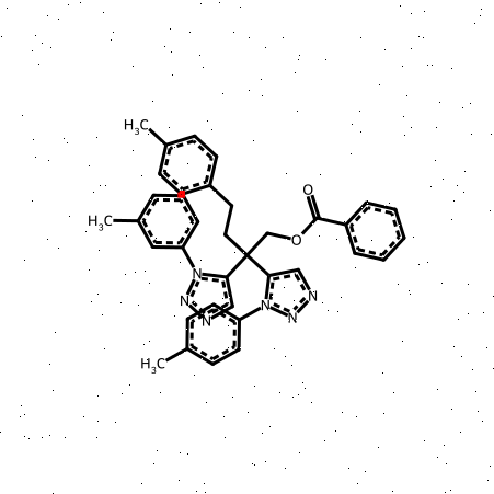 Cc1ccc(CCC(COC(=O)c2ccccc2)(c2cnnn2-c2ccc(C)cc2)c2cnnn2-c2cccc(C)c2)cc1